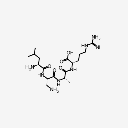 CC(C)C[C@H](N)C(=O)N[C@@H](CN)C(=O)N[C@@H](C)C(=O)N[C@@H](CCCNC(=N)N)C(=O)O